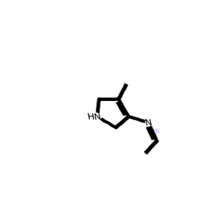 C/C=N\C1=C(C)CNC1